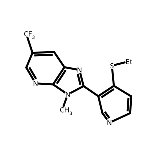 CCSc1ccncc1-c1nc2cc(C(F)(F)F)cnc2n1C